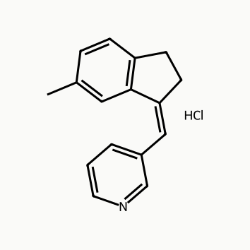 Cc1ccc2c(c1)/C(=C\c1cccnc1)CC2.Cl